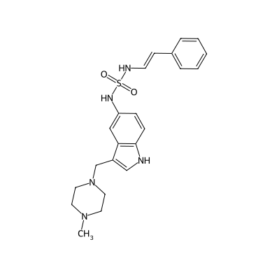 CN1CCN(Cc2c[nH]c3ccc(NS(=O)(=O)N/C=C/c4ccccc4)cc23)CC1